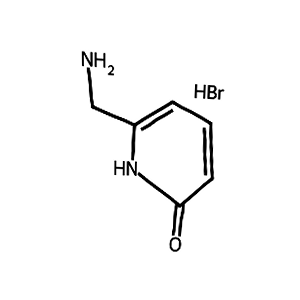 Br.NCc1cccc(=O)[nH]1